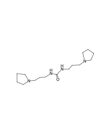 O=C(NCCCN1CCCC1)NCCCN1CCCC1